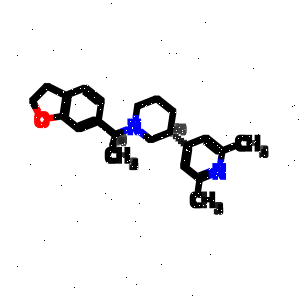 Cc1cc([C@H]2CCCN([C@@H](C)c3ccc4c(c3)OCC4)C2)cc(C)n1